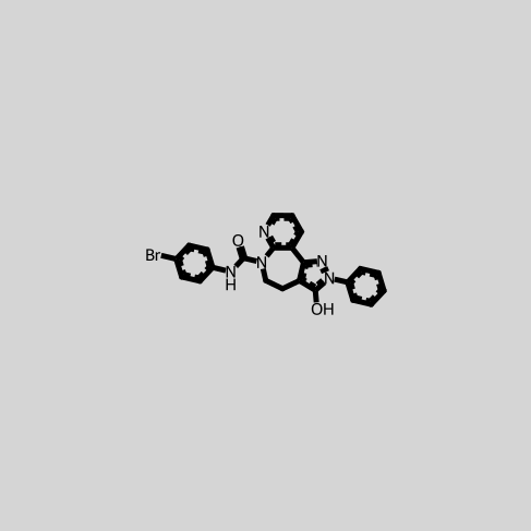 O=C(Nc1ccc(Br)cc1)N1CCc2c(nn(-c3ccccc3)c2O)-c2cccnc21